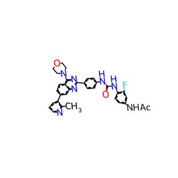 CC(=O)Nc1ccc(NC(=O)Nc2ccc(-c3nc(N4CCOCC4)c4ccc(-c5cccnc5C)cc4n3)cc2)c(F)c1